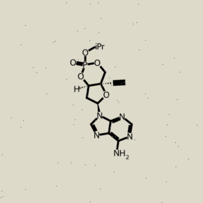 C#C[C@@]12COP(=O)(OC(C)C)O[C@@H]1C[C@H](n1cnc3c(N)ncnc31)O2